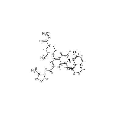 C=CC(=O)N1CCN(c2nc(OC[C@@H]3CCCN3C)nc3c(=O)n(-c4cccc5cccc(Cl)c45)c(CC)nc23)[C@@H](C)C1